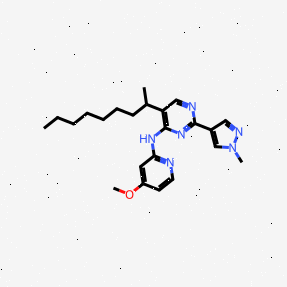 CCCCCCCC(C)c1cnc(-c2cnn(C)c2)nc1Nc1cc(OC)ccn1